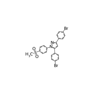 CS(=O)(=O)c1ccc(-n2nc(-c3ccc(Br)cc3)cc2-c2ccc(Br)cc2)cc1